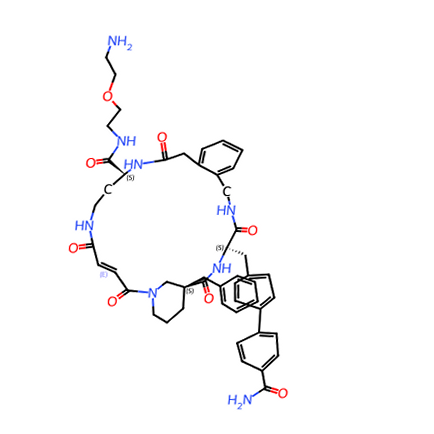 NCCOCCNC(=O)[C@@H]1CCNC(=O)/C=C/C(=O)N2CCC[C@](Cc3ccccc3)(C2)C(=O)N[C@@H](Cc2ccc(-c3ccc(C(N)=O)cc3)cc2)C(=O)NCc2ccccc2CC(=O)N1